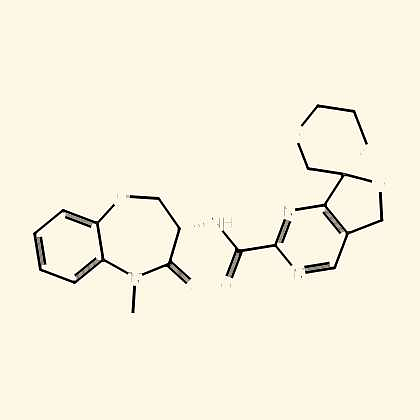 CN1C(=O)[C@@H](NC(=O)c2ncc3c(n2)[C@]2(CCCOC2)OC3)COc2ccccc21